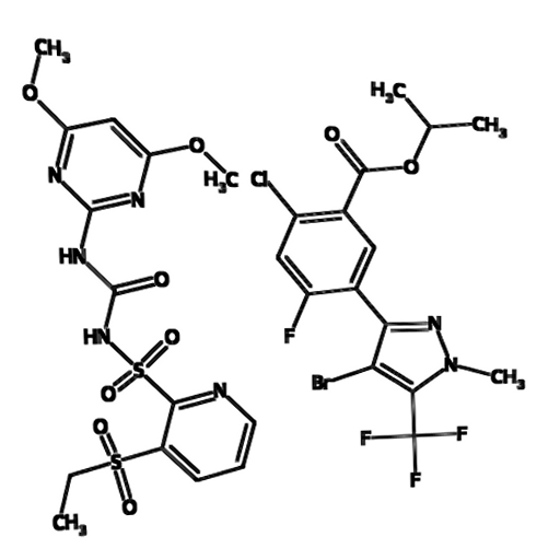 CC(C)OC(=O)c1cc(-c2nn(C)c(C(F)(F)F)c2Br)c(F)cc1Cl.CCS(=O)(=O)c1cccnc1S(=O)(=O)NC(=O)Nc1nc(OC)cc(OC)n1